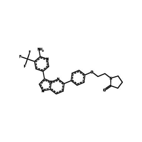 Nc1ncc(-c2cnc3ccc(-c4ccc(OCCN5CCCC5=O)cc4)nn23)cc1C(F)(F)F